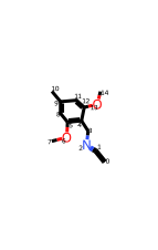 C=C=NCc1c(OC)cc(C)cc1OC